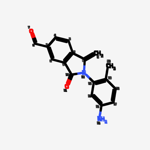 C=C1c2ccc(C=O)cc2C(=O)N1c1cc(N)ccc1C